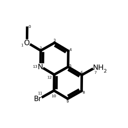 COc1ccc2c(N)ccc(Br)c2n1